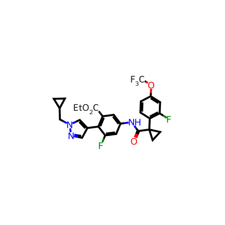 CCOC(=O)c1cc(NC(=O)C2(c3ccc(OC(F)(F)F)cc3F)CC2)cc(F)c1-c1cnn(CC2CC2)c1